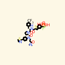 CN(C)C(=O)CCN(C(=O)[C@@H]1CCCN1C(=O)[C@H](Cc1ccc(C(F)(F)F)cc1)NC(=O)c1cc2cc(C(F)(F)P(=O)(O)O)ccc2s1)c1ccc(-c2nccs2)cc1